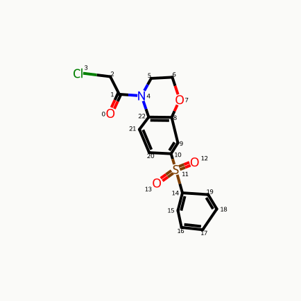 O=C(CCl)N1CCOc2cc(S(=O)(=O)c3ccccc3)ccc21